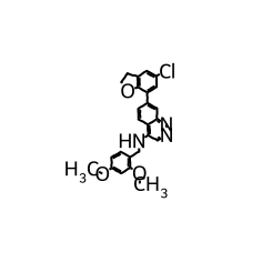 COc1ccc(CNc2cnnc3cc(-c4cc(Cl)cc5c4OCC5)ccc23)c(OC)c1